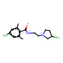 Cc1cc(Br)cc(C)c1C(=O)NCCN1CCC(F)C1